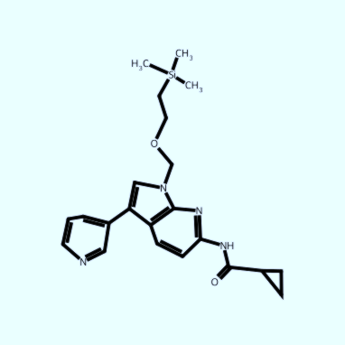 C[Si](C)(C)CCOCn1cc(-c2cccnc2)c2ccc(NC(=O)C3CC3)nc21